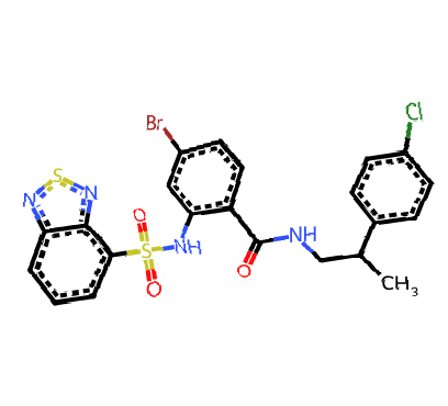 CC(CNC(=O)c1ccc(Br)cc1NS(=O)(=O)c1cccc2nsnc12)c1ccc(Cl)cc1